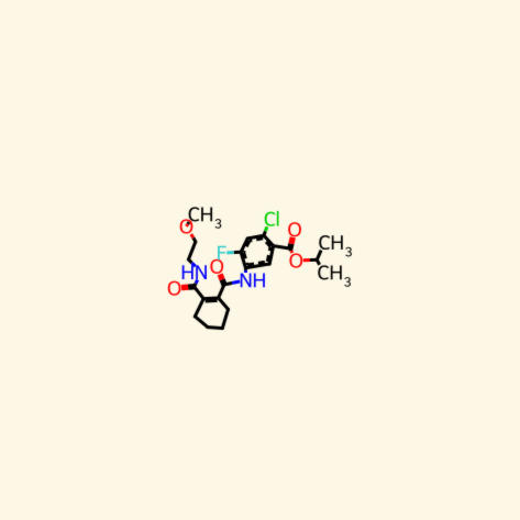 COCCNC(=O)C1=C(C(=O)Nc2cc(C(=O)OC(C)C)c(Cl)cc2F)CCCC1